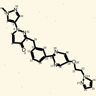 Cn1cc(-n2ccc(=O)c(Cc3cccc(-c4ncc(OCCn5cccn5)cn4)c3)n2)cn1